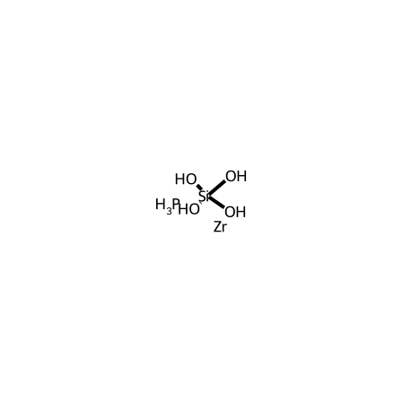 O[Si](O)(O)O.P.[Zr]